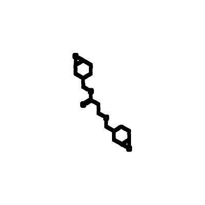 O=C(CCOCC1CCC2OC2C1)OCC1CCC2OC2C1